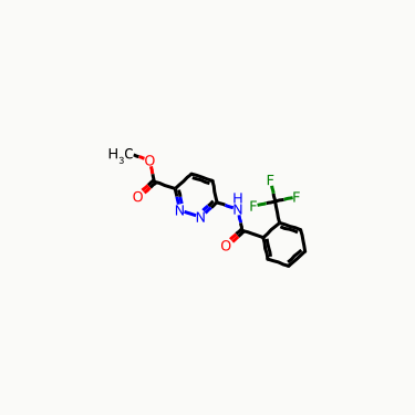 COC(=O)c1ccc(NC(=O)c2ccccc2C(F)(F)F)nn1